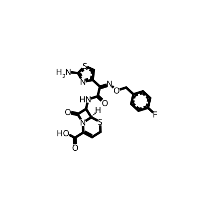 Nc1nc(/C(=N/OCc2ccc(F)cc2)C(=O)NC2C(=O)N3C(C(=O)O)=CCS[C@H]23)cs1